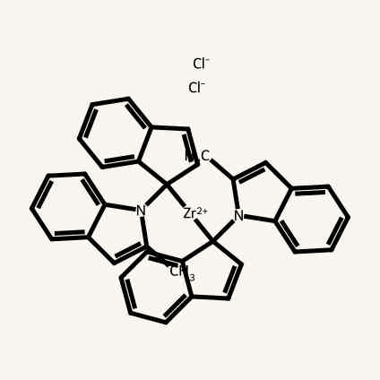 Cc1cc2ccccc2n1[C]1([Zr+2][C]2(n3c(C)cc4ccccc43)C=Cc3ccccc32)C=Cc2ccccc21.[Cl-].[Cl-]